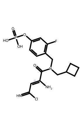 N=C(Cl)/C=C(\N)C(=O)N(Cc1ccc(OP(=O)(O)O)cc1F)CC1CCC1